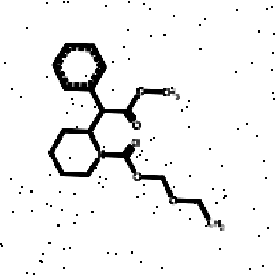 CCOCOC(=O)N1CCCCC1C(C(=O)OC)c1ccccc1